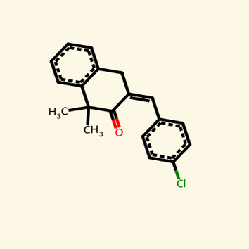 CC1(C)C(=O)C(=Cc2ccc(Cl)cc2)Cc2ccccc21